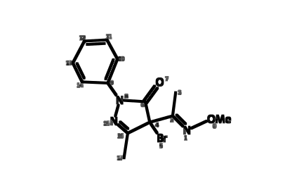 CO/N=C(\C)C1(Br)C(=O)N(c2ccccc2)N=C1C